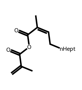 C=C(C)C(=O)OC(=O)C(C)=CCCCCCCCC